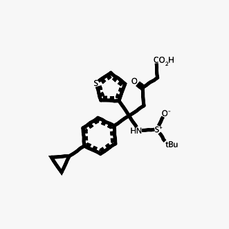 CC(C)(C)[S+]([O-])NC(CC(=O)CC(=O)O)(c1ccc(C2CC2)cc1)c1ccsc1